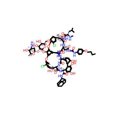 CCCCOc1ccc(NC(=O)NC(=O)C[C@@H]2NC(=O)[C@H](NC(=O)[C@@H](CC(C)C)NC)[C@H](O)c3ccc(c(Cl)c3)Oc3cc4cc(c3O[C@@H]3O[C@H](CO)[C@@H](O)[C@H](O)[C@H]3O[C@H]3C[C@](C)(N)[C@H](O)[C@H](C)O3)Oc3ccc(cc3Cl)[C@@H](O)[C@@H]3NC(=O)[C@H](NC(=O)[C@@H]4NC2=O)c2ccc(O)c(c2)-c2c(O)cc(O)cc2[C@@H](C(=O)NC2C4CC5CC(C4)CC2C5)NC3=O)cc1